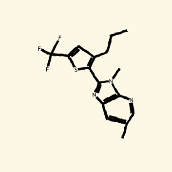 CCCc1cc(C(F)(F)F)sc1-c1nc2cc(C)cnc2n1C